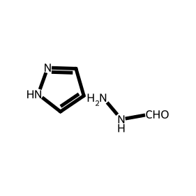 NNC=O.c1cn[nH]c1